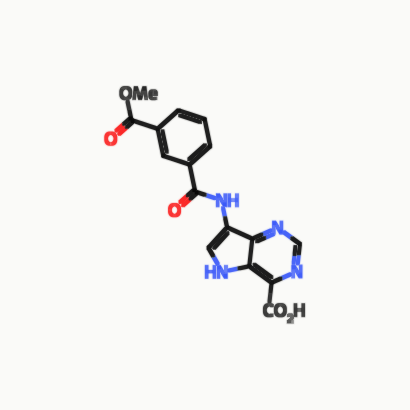 COC(=O)c1cccc(C(=O)Nc2c[nH]c3c(C(=O)O)ncnc23)c1